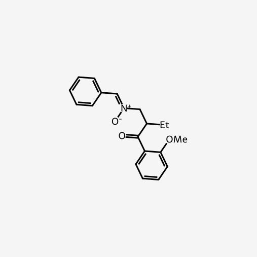 CCC(C[N+]([O-])=Cc1ccccc1)C(=O)c1ccccc1OC